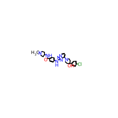 CN1CCC(NC(=O)c2ccc(Nc3nc4c(N5CCC(O)(c6ccc(Cl)cc6)CC5)cccn4n3)cc2)CC1